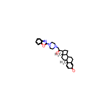 CC12C=CC(=O)C=C1CCC1C2CCC2(C)C(C(=O)CN3CCN(c4nc5ccccc5o4)CC3)CCC12